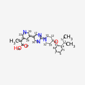 CCC(C)c1ccccc1OC1CCN(c2ncc(-c3cncc(C(C)C(=O)O)c3)cn2)CC1